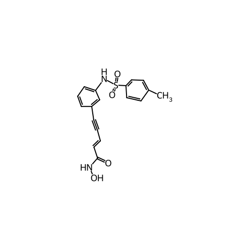 Cc1ccc(S(=O)(=O)Nc2cccc(C#CC=CC(=O)NO)c2)cc1